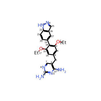 CCOc1cc(Cc2cnc(N)nc2N)cc(OCC)c1-c1ccc2[nH]ncc2c1